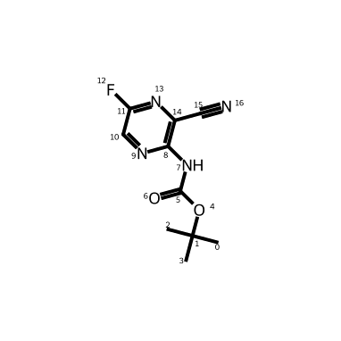 CC(C)(C)OC(=O)Nc1ncc(F)nc1C#N